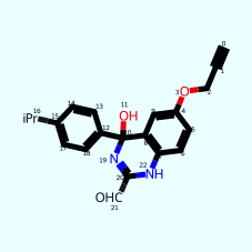 C#CCOc1ccc2c(c1)C(O)(c1ccc(C(C)C)cc1)N=C(C=O)N2